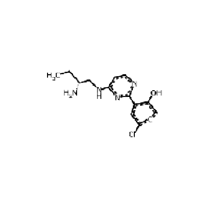 CC[C@@H](N)CNc1ccnc(-c2cc(Cl)ccc2O)n1